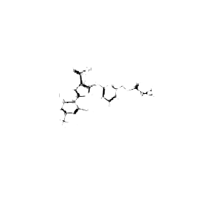 CC(C)(O)c1cc(F)c(-c2cc(C(N)=O)c(Nc3cccc(CNC(=O)C4(O)CC4)n3)s2)c(F)c1